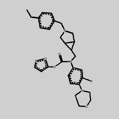 CCc1ccc(CN2CC3C(C2)C3CN(C(=O)Oc2ccno2)c2ccc(N3CCOCC3)c(F)c2)cc1